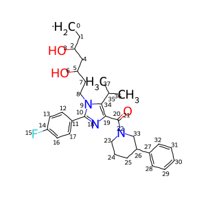 [CH2]CC(O)CC(O)CCn1c(-c2ccc(F)cc2)nc(C(=O)N2CCCC(c3ccccc3)C2)c1C(C)C